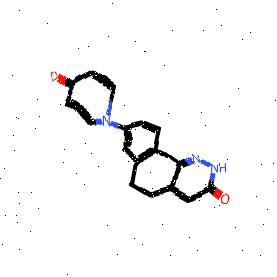 O=C1CC2CCc3cc(-n4ccc(=O)cc4)ccc3C2=NN1